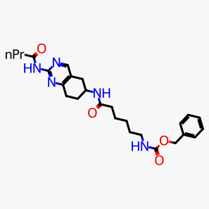 CCCC(=O)Nc1ncc2c(n1)CCC(NC(=O)CCCCCNC(=O)OCc1ccccc1)C2